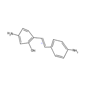 Nc1ccc(/C=C/c2ccc(N)cc2O)cc1